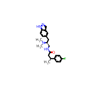 C[C@@H](CC(=O)NC[C@H](Cc1ccc2[nH]ncc2c1)N(C)C)c1ccc(F)cc1